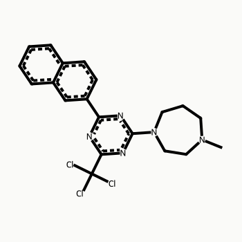 CN1CCCN(c2nc(-c3ccc4ccccc4c3)nc(C(Cl)(Cl)Cl)n2)CC1